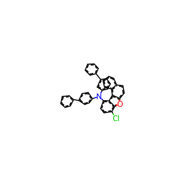 Clc1ccc(N(c2ccc(-c3ccccc3)cc2)c2cccc(-c3ccccc3)c2)c2c1oc1ccc3ccccc3c12